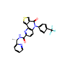 C[C@H](NC(=O)c1ccc2c(n1)c1cscc1c(=O)n2-c1ccc(C(F)(F)F)cc1)c1ccccn1